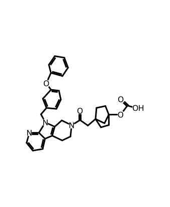 O=C(O)OC12CCC(CC(=O)N3CCc4c(n(Cc5cccc(Oc6ccccc6)c5)c5ncccc45)C3)(CC1)C2